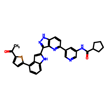 CC(=O)c1ccc(-c2cccc3[nH]c(-c4n[nH]c5ccc(-c6cncc(NC(=O)C7CCCC7)c6)nc45)cc23)s1